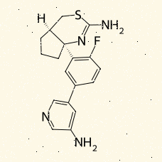 NC1=N[C@@]2(c3cc(-c4cncc(N)c4)ccc3F)CCC[C@H]2CS1